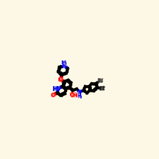 CCc1cc2c(cc1CC)CC(NC[C@@H](O)c1ccc(OC3CCNCC3)c3[nH]c(=O)ccc13)C2